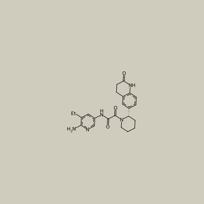 CCc1cc(NC(=O)C(=O)N2CCCC[C@H]2c2ccc3c(c2)CCC(=O)N3)cnc1N